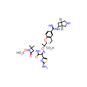 CC1(C)[C@H](NC(=O)/C(=N\O[C@](C)(C(=O)O)[C@H]2CCc3cc(C(=N)NC4C[C@@H]5CNC[C@H]45)ccc3O2)c2csc(N)n2)C(=O)N1OS(=O)(=O)O